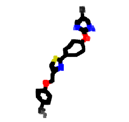 CCc1cnc(OC2CCC(c3nc(COc4ccc(C(F)(F)F)cc4)cs3)CC2)nc1